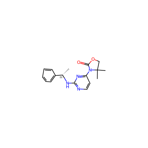 C[C@H](Nc1nccc(N2C(=O)OCC2(C)C)n1)c1ccccc1